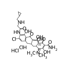 CN(C)[C@@H]1C(O)=C(C(N)=O)C(=O)[C@@]2(O)C(O)=C3C(=O)c4c(cc(Cl)c(NC(=O)CNCC5CC5)c4O)CC3CC12.Cl.Cl